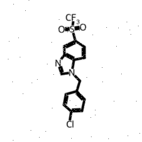 O=S(=O)(c1ccc2c(c1)ncn2Cc1ccc(Cl)cc1)C(F)(F)F